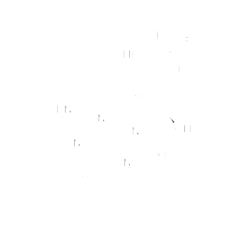 CCCn1c(=O)n([C@@H]2O[C@H](C(O)C(F)(F)F)C[C@H]2O)c2nc(N)nc(OC)c21